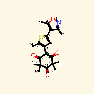 Cc1noc(C)c1-c1cc(C2C(=O)C(C)(C)C(=O)C(C)(C)C2=O)c(C)s1